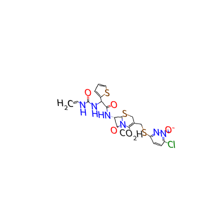 C=CNC(=O)NC(C(=O)N[C@H]1C(=O)N2C(C(=O)O)=C(CSc3ccc(Cl)[n+]([O-])n3)CSC12)c1cccs1